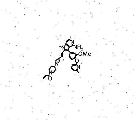 C=CC(=O)N1CCC(N2CC(C#Cc3c(-c4ccc(Oc5cccc(C)n5)c(OC)c4)c4c(N)nccc4n3C)C2)CC1